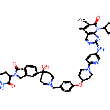 CC(=O)c1c(C)c2cnc(Nc3ccc(N4CCC(Oc5ccc(CN6CCC(O)(c7ccc8c(c7)CN(C7CCC(=O)NC7=O)C8=O)CC6)cc5)CC4)nc3)nc2n(C2CCCC2)c1=O